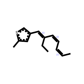 C\C=C/C=C\C(=C\c1csc(C)c1)CC